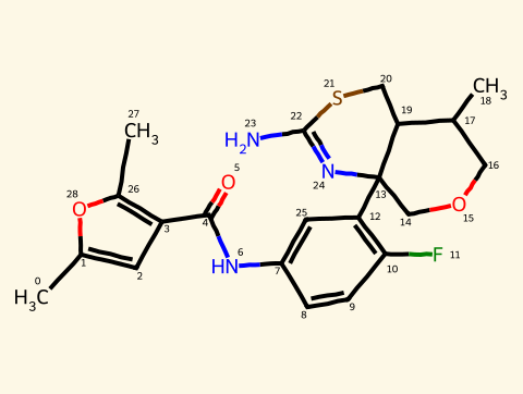 Cc1cc(C(=O)Nc2ccc(F)c(C34COCC(C)C3CSC(N)=N4)c2)c(C)o1